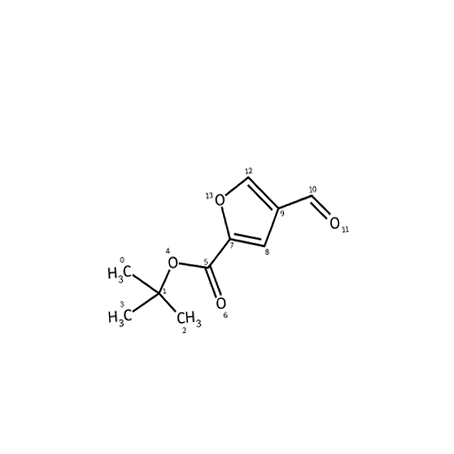 CC(C)(C)OC(=O)c1cc(C=O)co1